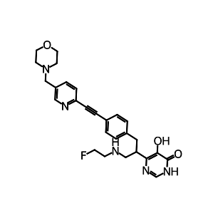 O=c1[nH]cnc(C(CNCCF)Cc2ccc(C#Cc3ccc(CN4CCOCC4)cn3)cc2)c1O